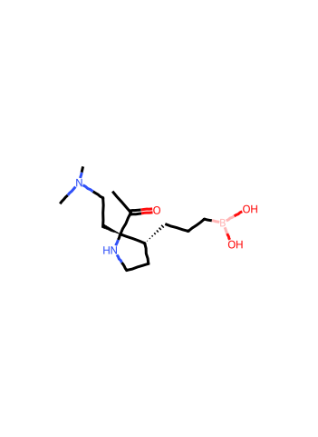 CC(=O)[C@@]1(CCN(C)C)NCC[C@H]1CCCB(O)O